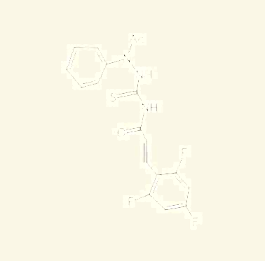 CC(=O)N(NC(=S)NC(=O)C=Cc1c(F)cc(F)cc1F)c1ccccc1